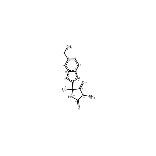 CCc1ccc2[nH]c(C3(C)NC(=O)N(N)C3=O)cc2c1